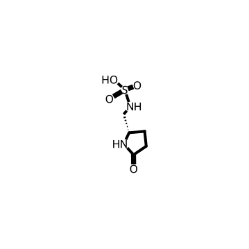 O=C1CC[C@@H](CNS(=O)(=O)O)N1